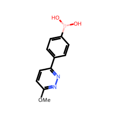 COc1ccc(-c2ccc(B(O)O)cc2)nn1